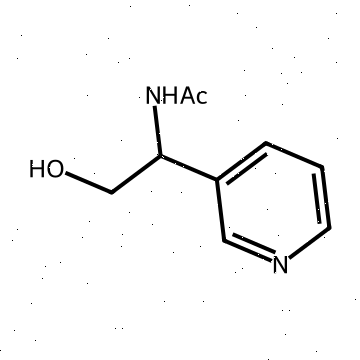 CC(=O)NC(CO)c1cccnc1